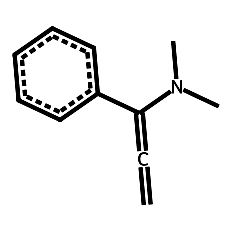 C=C=C(c1ccccc1)N(C)C